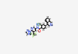 O=C(Nc1cnc(-n2nccn2)c(C(F)(F)F)c1)c1ccc(-c2cncc3ccccc23)cc1Cl